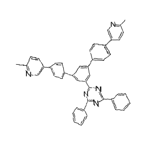 Cc1ccc(-c2ccc(-c3cc(-c4ccc(-c5ccc(C)nc5)cc4)cc(-c4nc(-c5ccccc5)nc(-c5ccccc5)n4)c3)cc2)cn1